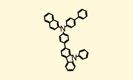 c1ccc(-c2ccc(N(c3ccc(-c4ccc5c6ccccc6n(-c6ccccc6)c5c4)cc3)c3ccc4ccccc4c3)cc2)cc1